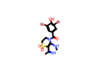 CNC1=C(C(C)=N)S(=O)(=O)CCN1C(=O)c1cc(Br)c(O)c(Br)c1